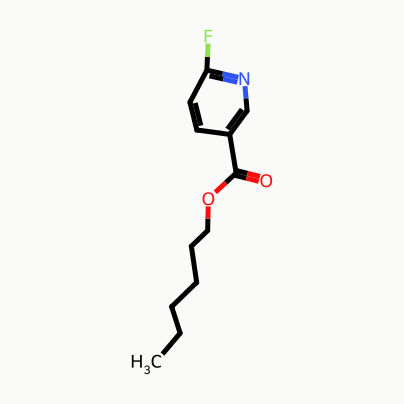 CCCCCCOC(=O)c1ccc(F)nc1